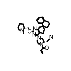 C=CC(=O)N1CCN(c2nc(OC[C@@H]3CCCCN3C)nc3c2CCC2(CCCc4ccccc42)C3)C[C@@H]1CC#N